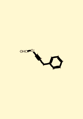 O=[C]OC#CCc1ccccc1